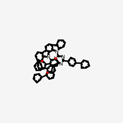 c1ccc(-c2ccc(-c3nc(-c4cccc(-c5ccccc5)c4)nc(-n4c5ccccc5c5ccc6c7ccccc7n(-c7cccc(-c8cccc(-c9ccccc9)c8)c7-c7ccccc7)c6c54)n3)cc2)cc1